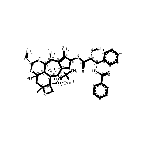 C=C[C@H]1O[C@H]2C[C@H]3OC[C@@]3(C)[C@H]3[C@H](C)[C@]4(C(C)(C)O)CC(OC(=O)[C@H](OC)[C@@H](NC(=O)c5ccccc5)c5ccccc5)C(C)=C4[C@H](C)[C@H](O1)[C@]23C